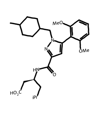 COc1cccc(OC)c1-c1cc(C(=O)N[C@H](CC(=O)O)CC(C)C)nn1CC1CCC(C)CC1